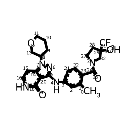 Cc1cc(Nc2nn(C3CCCOC3)c3cc[nH]c(=O)c23)ccc1C(=O)N1CCC(O)(C(F)(F)F)C1